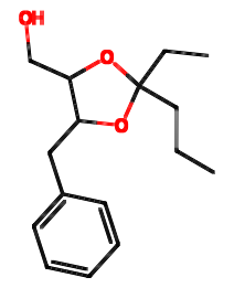 CCCC1(CC)OC(CO)C(Cc2ccccc2)O1